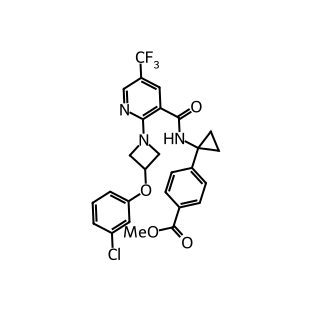 COC(=O)c1ccc(C2(NC(=O)c3cc(C(F)(F)F)cnc3N3CC(Oc4cccc(Cl)c4)C3)CC2)cc1